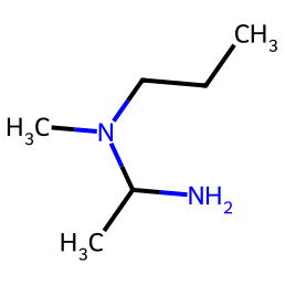 CCCN(C)C(C)N